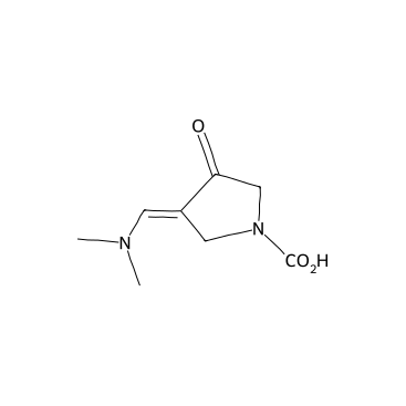 CN(C)/C=C1\CN(C(=O)O)CC1=O